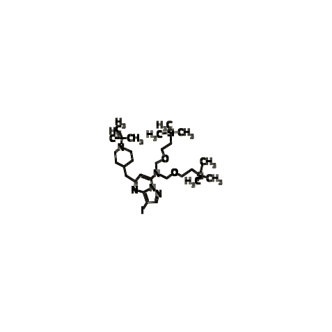 CC(C)(C)N1CCC(Cc2cc(N(COCC[Si](C)(C)C)COCC[Si](C)(C)C)n3ncc(I)c3n2)CC1